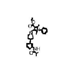 CCOC(=O)c1c(CN2CCC(c3cccc(NC(=O)C(C)C)c3)CC2)c(C)n(-c2ccccc2)c1C